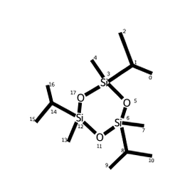 CC(C)[Si]1(C)O[Si](C)(C(C)C)O[Si](C)(C(C)C)O1